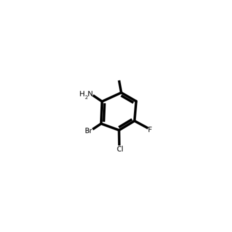 Cc1cc(F)c(Cl)c(Br)c1N